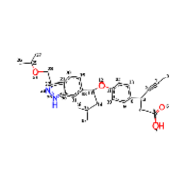 CC#CC(CC(=O)O)c1ccc(OC(CC(C)C)c2ccc3c(COC(C)C)n[nH]c3c2)cc1